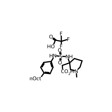 CCCCCCCCc1ccc(NS(=O)(=O)NC2(CC(=O)O)CCCN(C)C2)cc1.O=C(O)C(F)(F)F